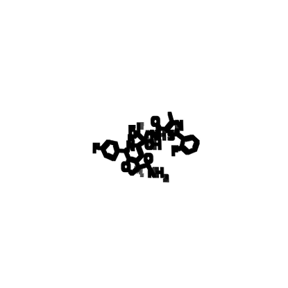 Cc1nc(-c2ccccc2F)sc1C(=O)NC[C@](O)(c1cc2c(c(-c3ccc(F)cc3)n1)OC[C@]2(C)C(N)=O)C(F)(F)F